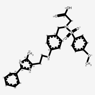 COc1ccc(S(=O)(=O)N(CC(=O)O)Cc2ccc(OCCc3nc(-c4ccccc4)oc3C)cc2)cc1